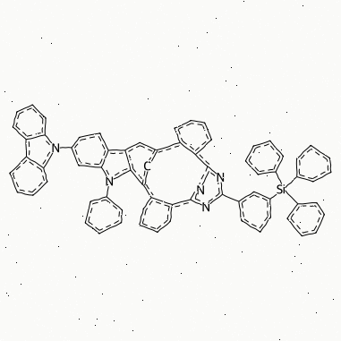 c1ccc(-n2c3cc(-n4c5ccccc5c5ccccc54)ccc3c3cc4cc(c5ccccc5c5nc(-c6cccc([Si](c7ccccc7)(c7ccccc7)c7ccccc7)c6)nc(n5)c5ccccc45)c32)cc1